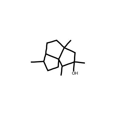 CC1CCC23C1CCC2(C)CC(C)(O)C3C